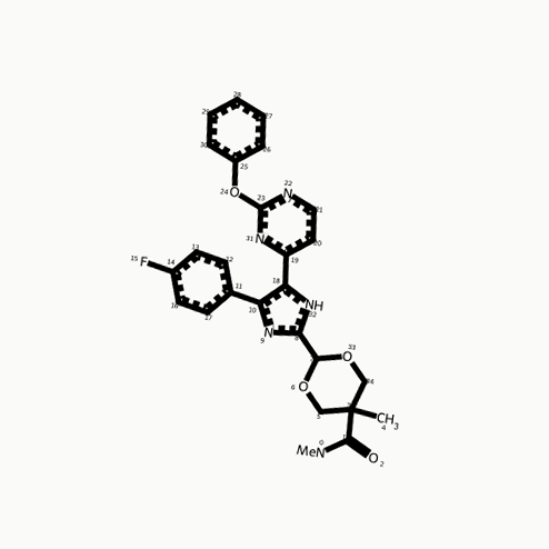 CNC(=O)C1(C)COC(c2nc(-c3ccc(F)cc3)c(-c3ccnc(Oc4ccccc4)n3)[nH]2)OC1